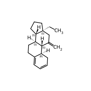 C=C1C[C@]2(CC)CCC[C@H]2[C@@H]2CCC3=CC=CC[C@@H]3[C@@H]12